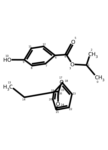 CC(C)OC(=O)c1ccc(O)cc1.CCC1COc2ccc(cc2)O1